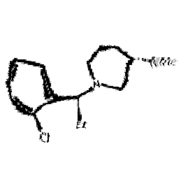 CC[C@@H](c1ccccc1Cl)N1CC[C@H](NC)C1